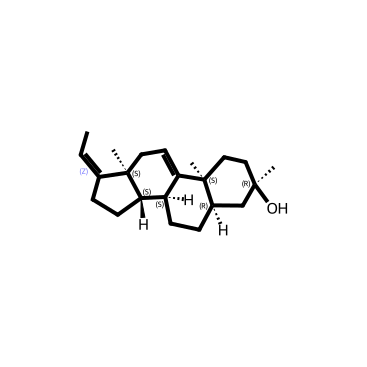 C/C=C1/CC[C@H]2[C@@H]3CC[C@@H]4C[C@](C)(O)CC[C@]4(C)C3=CC[C@]12C